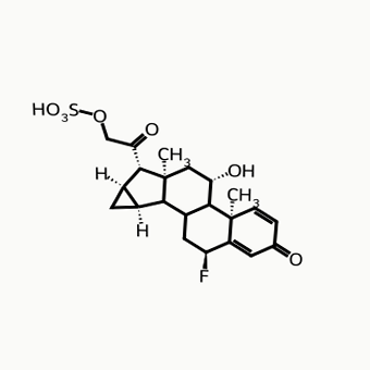 C[C@]12C=CC(=O)C=C1[C@@H](F)CC1C2[C@@H](O)C[C@@]2(C)C1[C@H]1C[C@H]1[C@@H]2C(=O)COS(=O)(=O)O